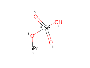 CC(C)O[Se](=O)(=O)O